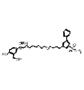 NS(=O)(=O)c1cc(CCCCOCCCCCCNC[C@H](O)c2ccc(O)c(CO)c2)cc(-c2ccccc2)c1